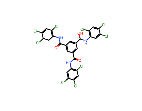 O=C(NC1=C(Cl)C=C(Cl)C(Cl)C1)c1cc(C(=O)Nc2cc(Cl)c(Cl)cc2Cl)cc(C(O)Nc2cc(Cl)c(Cl)cc2Cl)c1